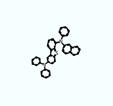 c1ccc(N(c2ccccc2)c2ccc3sc4c(N(c5ccccc5)c5ccc6ccccc6c5)cccc4c3c2)cc1